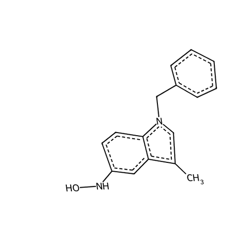 Cc1cn(Cc2ccccc2)c2ccc(NO)cc12